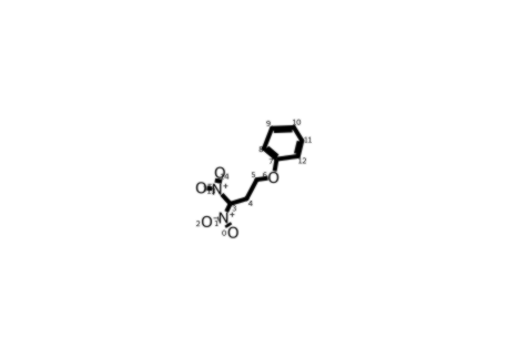 O=[N+]([O-])C(CCOc1ccccc1)[N+](=O)[O-]